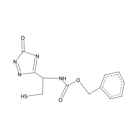 O=C1N=NC(C(CS)NC(=O)OCc2ccccc2)=N1